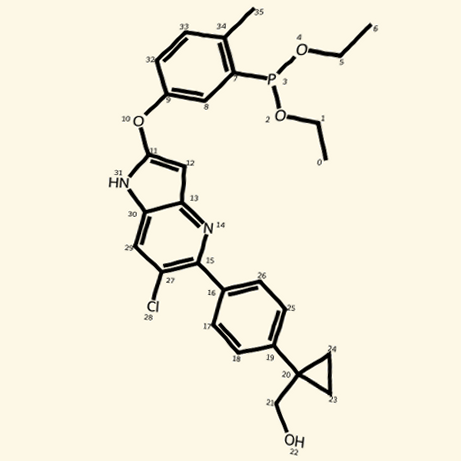 CCOP(OCC)c1cc(Oc2cc3nc(-c4ccc(C5(CO)CC5)cc4)c(Cl)cc3[nH]2)ccc1C